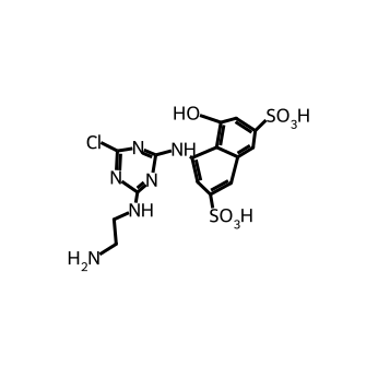 NCCNc1nc(Cl)nc(Nc2cc(S(=O)(=O)O)cc3cc(S(=O)(=O)O)cc(O)c23)n1